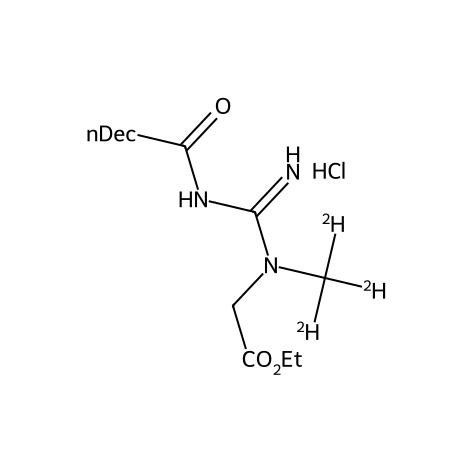 Cl.[2H]C([2H])([2H])N(CC(=O)OCC)C(=N)NC(=O)CCCCCCCCCC